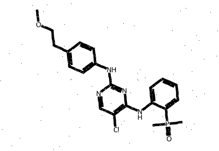 COCCc1ccc(Nc2ncc(Cl)c(Nc3ccccc3P(C)(C)=O)n2)cc1